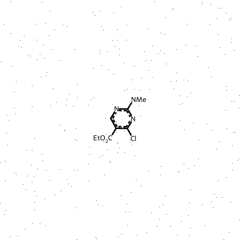 CCOC(=O)c1cnc(NC)nc1Cl